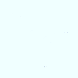 CCCCCCCCCCCCCOc1cc(COC(=O)CCCN2CCN(C)CC2)cc(OCCCCCCCCCCC)c1